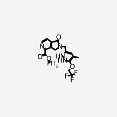 CC1=C(OCC(F)(F)F)NNC(CN2Cc3c(ccnc3C(=O)OP)C2=O)=C1